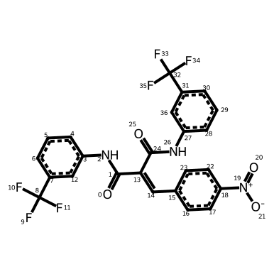 O=C(Nc1cccc(C(F)(F)F)c1)C(=Cc1ccc([N+](=O)[O-])cc1)C(=O)Nc1cccc(C(F)(F)F)c1